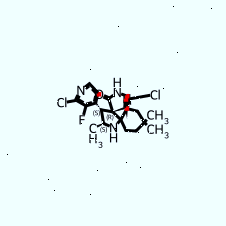 C[C@@H]1NC2(CCC(C)(C)CC2)[C@@]2(C(=O)Nc3nc(Cl)ccc32)[C@H]1c1ccnc(Cl)c1F